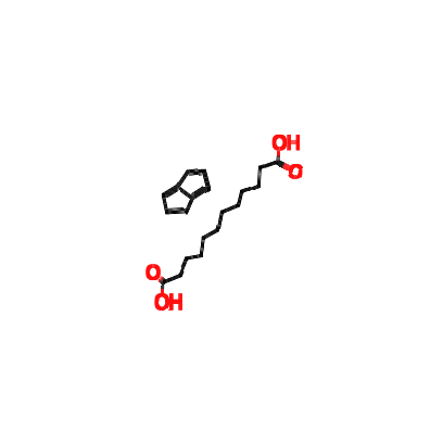 C1=CC2=CC=CC2=C1.O=C(O)CCCCCCCCCCC(=O)O